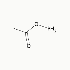 CC(=O)OP